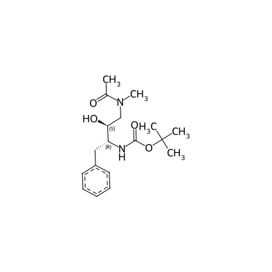 CC(=O)N(C)C[C@H](O)[C@@H](Cc1ccccc1)NC(=O)OC(C)(C)C